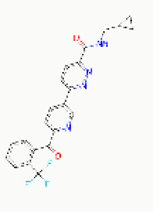 O=C(NCC1CC1)c1ccc(-c2ccc(C(=O)c3ccccc3C(F)(F)F)nc2)nn1